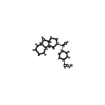 O=C(O)c1ccc(C(=O)c2ccc3oc4ccccc4c3c2)cc1